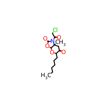 CCCCCCC1OC2OC(=O)N(C(=O)CCl)C2(C)CC1=O